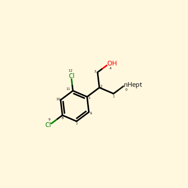 CCCCCCCCC(CO)c1ccc(Cl)cc1Cl